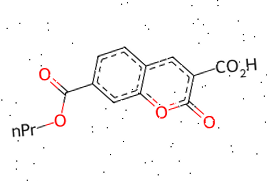 CCCOC(=O)c1ccc2cc(C(=O)O)c(=O)oc2c1